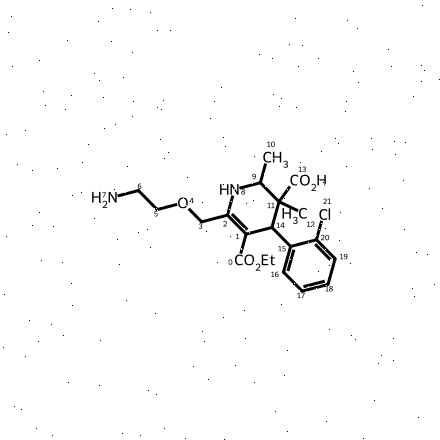 CCOC(=O)C1=C(COCCN)NC(C)C(C)(C(=O)O)C1c1ccccc1Cl